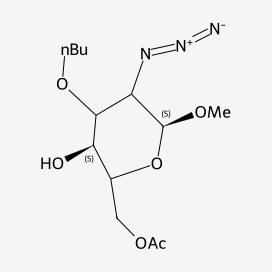 CCCCOC1C(N=[N+]=[N-])[C@@H](OC)OC(COC(C)=O)[C@H]1O